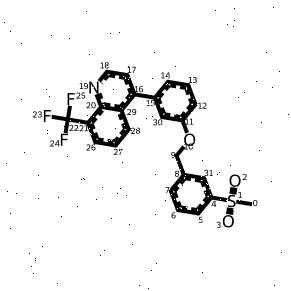 CS(=O)(=O)c1cccc(COc2cccc(-c3ccnc4c(C(F)(F)F)cccc34)c2)c1